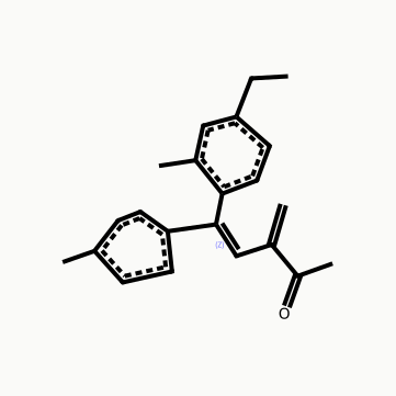 C=C(/C=C(/c1ccc(C)cc1)c1ccc(CC)cc1C)C(C)=O